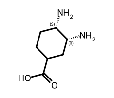 N[C@@H]1CC(C(=O)O)CC[C@@H]1N